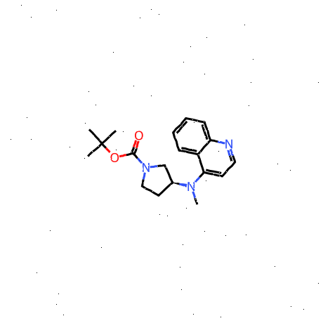 CN(c1ccnc2ccccc12)[C@H]1CCN(C(=O)OC(C)(C)C)C1